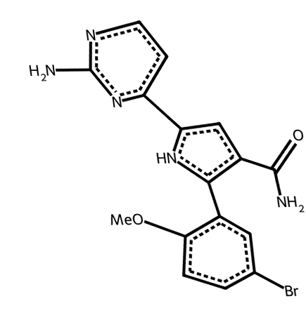 COc1ccc(Br)cc1-c1[nH]c(-c2ccnc(N)n2)cc1C(N)=O